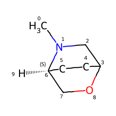 CN1CC2CC[C@H]1CO2